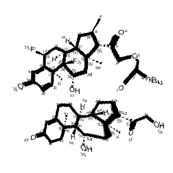 CCCCC(=O)OCC(=O)[C@H]1[C@H](C)C[C@H]2[C@@H]3C[C@H](F)C4=CC(=O)C=C[C@]4(C)[C@@]3(F)[C@@H](O)C[C@@]21C.C[C@]12C[C@H](O)[C@H]3[C@@H](CCC4=CC(=O)CC[C@@]43C)[C@@H]1CC[C@@H]2C(=O)CO